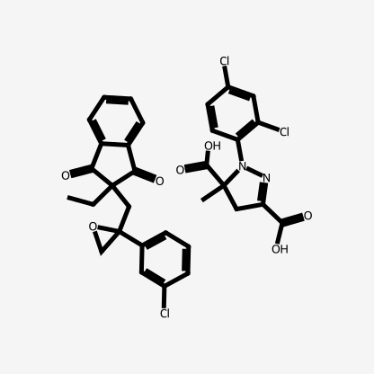 CC1(C(=O)O)CC(C(=O)O)=NN1c1ccc(Cl)cc1Cl.CCC1(CC2(c3cccc(Cl)c3)CO2)C(=O)c2ccccc2C1=O